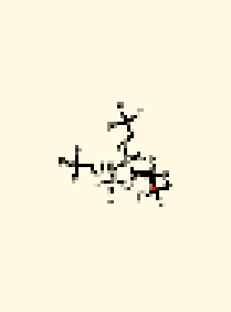 O=P(NP(=O)(OCC(F)(F)F)OCC(F)(F)F)(OCC(F)(F)F)OCC(F)(F)F